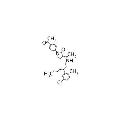 C=C(NCC/C(=C/CCC)c1cc(Cl)ccc1C)C1CCN(c2ccc(C(C)=O)cc2)C1=O